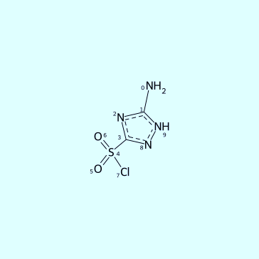 Nc1nc(S(=O)(=O)Cl)n[nH]1